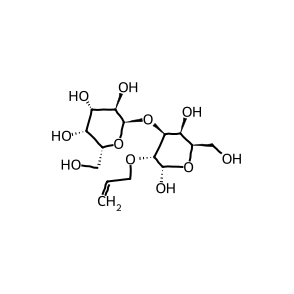 C=CCO[C@@H]1[C@@H](O[C@H]2O[C@H](CO)[C@H](O)[C@H](O)[C@H]2O)[C@@H](O)[C@@H](CO)O[C@@H]1O